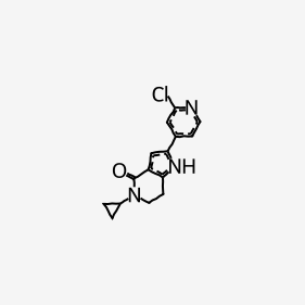 O=C1c2cc(-c3ccnc(Cl)c3)[nH]c2CCN1C1CC1